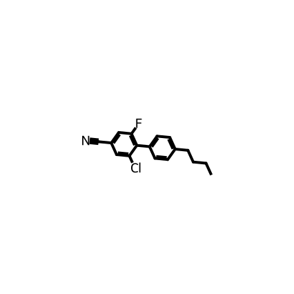 CCCCc1ccc(-c2c(F)cc(C#N)cc2Cl)cc1